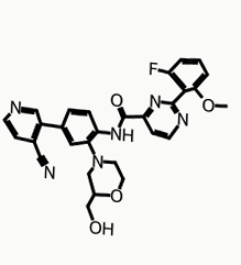 COc1cccc(F)c1-c1nccc(C(=O)Nc2ccc(-c3cnccc3C#N)cc2N2CCOC(CO)C2)n1